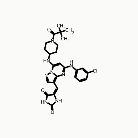 CC(C)(C)C(=O)N1CCC(Nc2cc(Nc3cccc(Cl)c3)nc3c(/C=C4/NC(=O)NC4=O)cnn23)CC1